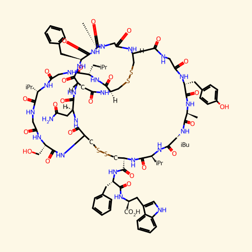 CC[C@H](C)[C@H]1NC(=O)[C@H](C)NC(=O)[C@@H](Cc2ccc(O)cc2)NC(=O)CNC(=O)[C@H]2CSSC[C@H]3NC(=O)C[C@H](NC(=O)[C@H](CC(N)=O)NC(=O)C(CSSC[C@@H](C(=O)N[C@@H](Cc4ccccc4)C(=O)N[C@@H](Cc4c[nH]c5ccccc45)C(=O)O)NC(=O)[C@H](C(C)C)NC1=O)NC(=O)[C@H](CO)NC(=O)CNC(=O)[C@H](C(C)C)NC(=O)CNC(=O)[C@H](CC(C)C)NC3=O)C(=O)N[C@@H](Cc1ccccc1)C(=O)N[C@H](C)C(=O)NCC(=O)N2